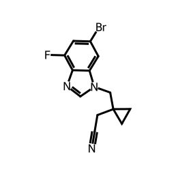 N#CCC1(Cn2cnc3c(F)cc(Br)cc32)CC1